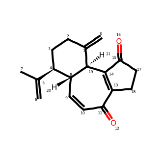 C=C1CC[C@H](C(=C)C)[C@H]2C=CC(=O)C3=C(C(=O)CC3)[C@H]12